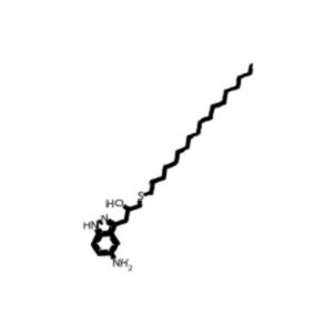 CCCCCCCCCCCCCCCCCCSCC(O)Cc1n[nH]c2ccc(N)cc12